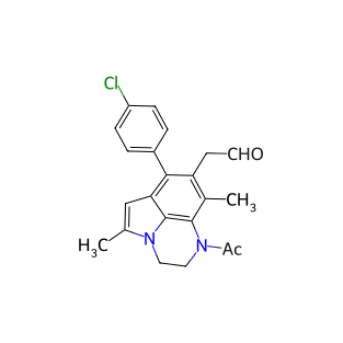 CC(=O)N1CCn2c(C)cc3c(-c4ccc(Cl)cc4)c(CC=O)c(C)c1c32